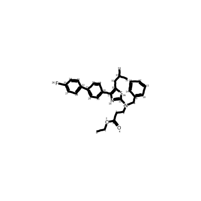 CCOC(=O)CCN(Cc1ccccc1)c1nc(-c2ccc(-c3ccc(F)cc3)cc2)c(CC(C)C)s1